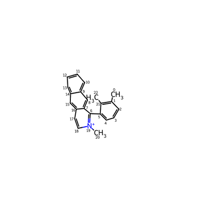 Cc1cccc(-c2c3cc4ccccc4cc3cc[n+]2C)c1C